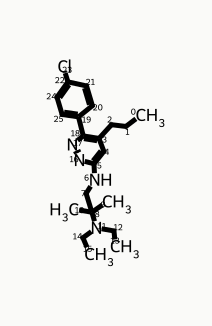 CCCc1cc(NCC(C)(C)N(CC)CC)nnc1-c1ccc(Cl)cc1